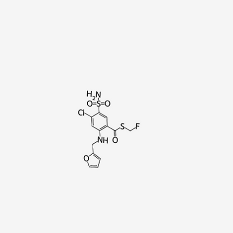 NS(=O)(=O)c1cc(C(=O)SCF)c(NCc2ccco2)cc1Cl